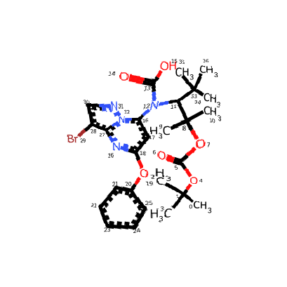 CC(C)(C)OC(=O)OC(C)(C)C(N(C(=O)O)c1cc(Oc2ccccc2)nc2c(Br)cnn12)C(C)(C)C